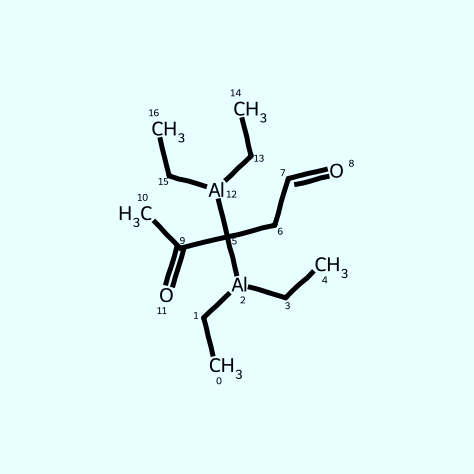 C[CH2][Al]([CH2]C)[C](CC=O)(C(C)=O)[Al]([CH2]C)[CH2]C